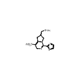 CCOC(=O)C1=C2CC(CNC(C)=O)CN2C(c2nccs2)=NC1